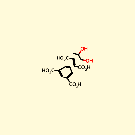 CC(O)CO.O=C(O)C=CC(=O)O.O=C(O)c1cccc(C(=O)O)c1